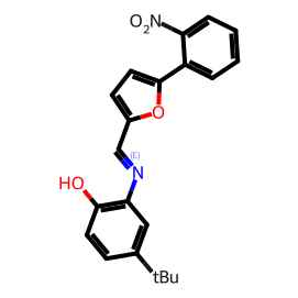 CC(C)(C)c1ccc(O)c(/N=C/c2ccc(-c3ccccc3[N+](=O)[O-])o2)c1